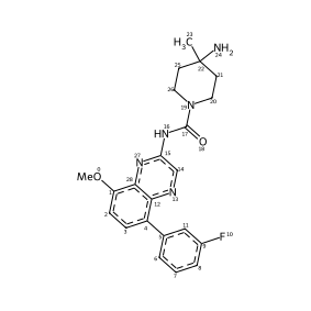 COc1ccc(-c2cccc(F)c2)c2ncc(NC(=O)N3CCC(C)(N)CC3)nc12